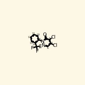 O=c1c(Cl)c(Cl)cnn1-c1ccccc1C(F)(F)F